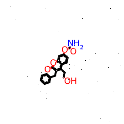 NC(=O)Oc1ccc2c(CCO)c(Cc3ccccc3)c(=O)oc2c1